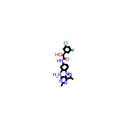 Cc1nc(N)c2c(n1)c(C)nn2-c1ccc(NC(=O)C(O)c2cc(F)cc(Cl)c2)cc1C